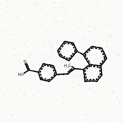 CC(=Cc1ccc(C(=O)O)cc1)c1cccc2cccc(-c3ccccc3)c12